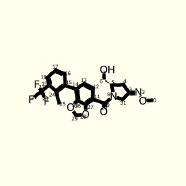 CO/N=C1/C[C@@H](CO)N(C(=O)c2ccc(-c3cccc(C(F)(F)F)c3C)c3c2OCO3)C1